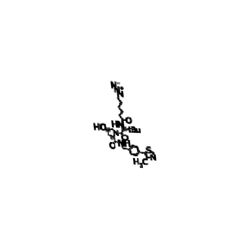 Cc1ncsc1-c1ccc(CNC(=O)[C@@H]2C[C@@H](O)CN2C(=O)[C@@H](NC(=O)CCCCCN=[N+]=[N-])C(C)(C)C)cc1